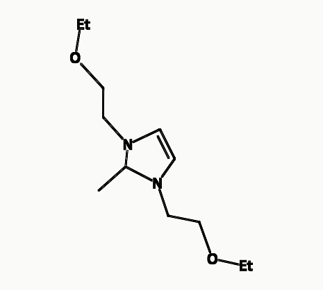 CCOCCN1C=CN(CCOCC)C1C